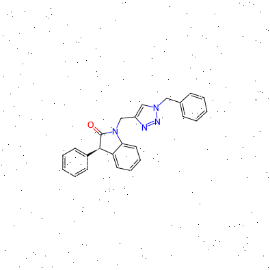 O=C1[C@H](c2ccccc2)c2ccccc2N1Cc1cn(Cc2ccccc2)nn1